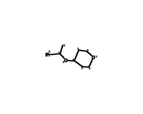 CC(C)C(C)OC1CCOCC1